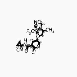 CC(COc1cnc(Cl)c(C(=O)NC2(C#N)CC2)c1)N(CC#N)S(=O)(=O)C(F)(F)F